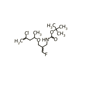 C=C(Cl)CC(C)OC/C(=C/F)CNC(=O)OC(C)(C)C